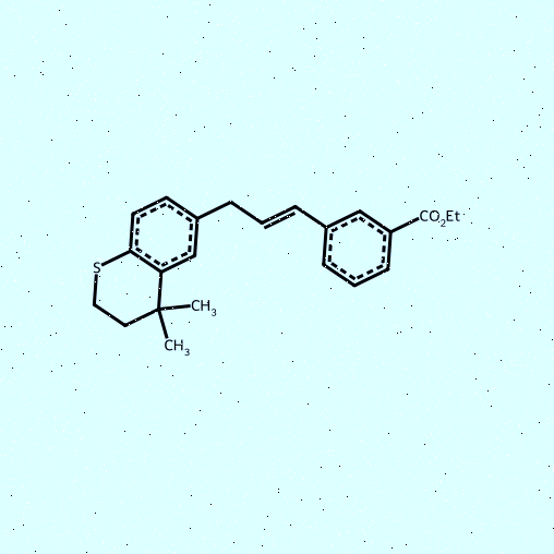 CCOC(=O)c1cccc(/C=C/Cc2ccc3c(c2)C(C)(C)CCS3)c1